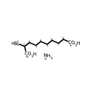 CCCCC(CCCCCCCC(=O)O)C(=O)O.N